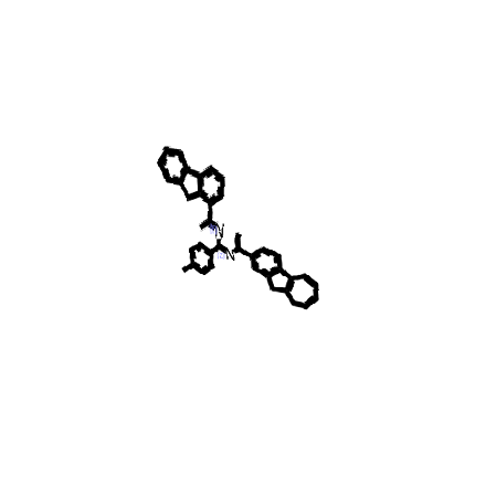 C=C(/N=C(\N=C(/C)c1cccc2c1Cc1ccccc1-2)c1ccc(C)cc1)c1ccc2c(c1)CC1=C2C=CC=CC1